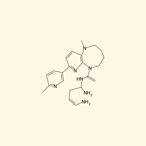 C=C(NC(N)C/C=C\N)N1CCCCN(C)c2ccc(-c3ccc(C)nc3)nc21